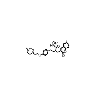 Cc1ccc2oc(=O)c(CC(CCc3ccc(OCCN4CCN(C)CC4)cc3)C(=O)NO)cc2c1